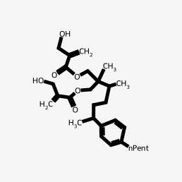 C=C(CO)C(=O)OCC(C)(COC(=O)C(=C)CO)C(C)CCC(C)c1ccc(CCCCC)cc1